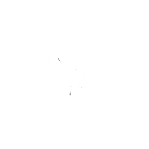 C=CCOC(=O)[C@@H]1C[C@@H]2CN1C(=O)N2OCc1ccccc1